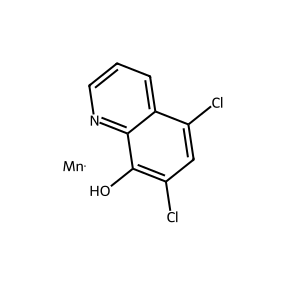 Oc1c(Cl)cc(Cl)c2cccnc12.[Mn]